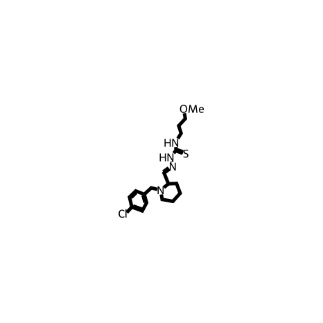 COCCCNC(=S)NN=CC1CCCCN1Cc1ccc(Cl)cc1